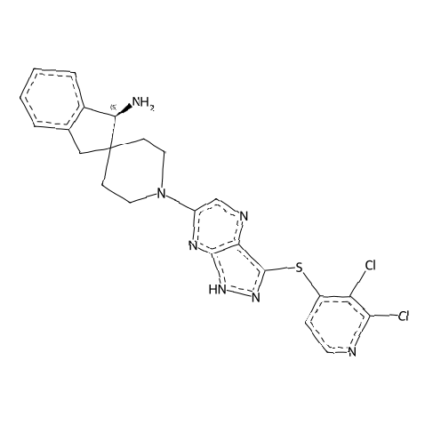 N[C@@H]1c2ccccc2CC12CCN(c1cnc3c(Sc4ccnc(Cl)c4Cl)n[nH]c3n1)CC2